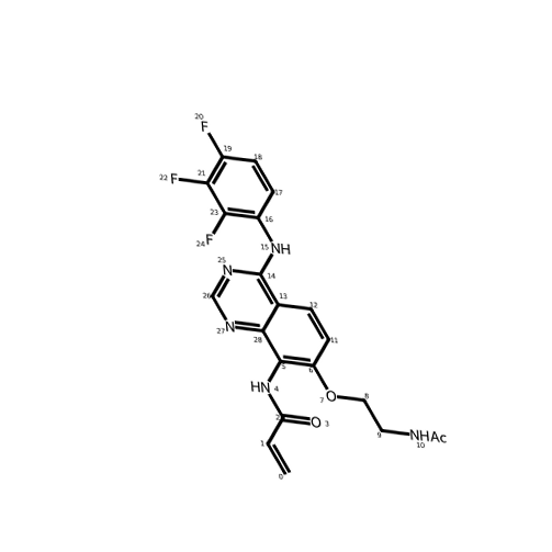 C=CC(=O)Nc1c(OCCNC(C)=O)ccc2c(Nc3ccc(F)c(F)c3F)ncnc12